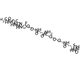 C=CC(=O)Nc1cccc(Nc2nc(Nc3ccc(OCCOCCNC(=O)CCCC(=O)N(N)CCCOCCOCCOCCCNC(=O)CCCC[C@@H]4SC[C@@H]5NC(=O)N[C@@H]54)c(F)c3)ncc2C(F)(F)F)c1